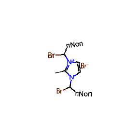 CCCCCCCCCC(Br)n1cc[n+](C(Br)CCCCCCCCC)c1C.[Br-]